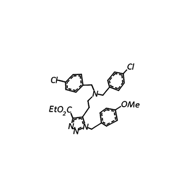 CCOC(=O)c1nnn(Cc2ccc(OC)cc2)c1CCN(Cc1ccc(Cl)cc1)Cc1ccc(Cl)cc1